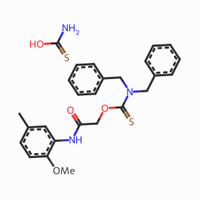 COc1ccc(C)cc1NC(=O)COC(=S)N(Cc1ccccc1)Cc1ccccc1.NC(O)=S